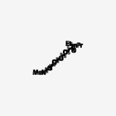 CCCC(CC)C(=O)CCOCCOCCOCCOCCNC